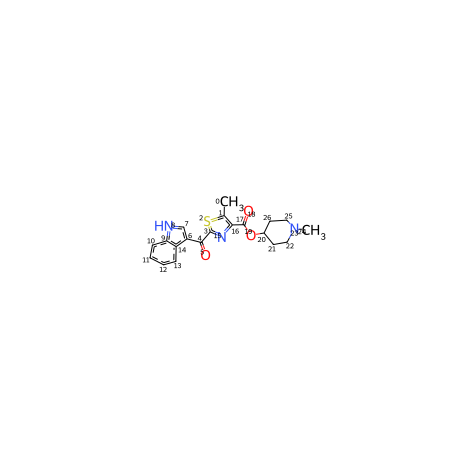 Cc1sc(C(=O)c2c[nH]c3ccccc23)nc1C(=O)OC1CCN(C)CC1